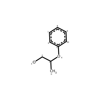 CC(C[O])Oc1ccccc1